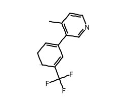 Cc1ccncc1C1=CC[CH]C(C(F)(F)F)=C1